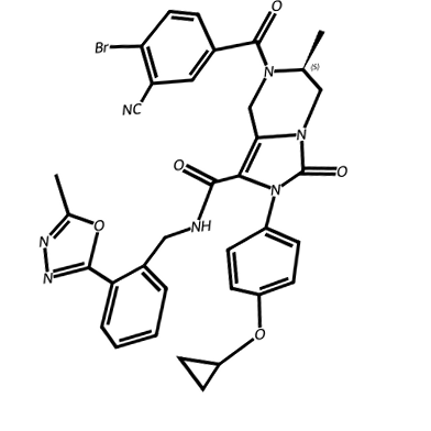 Cc1nnc(-c2ccccc2CNC(=O)c2c3n(c(=O)n2-c2ccc(OC4CC4)cc2)C[C@H](C)N(C(=O)c2ccc(Br)c(C#N)c2)C3)o1